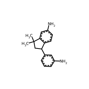 CC1(C)CC(c2cccc(N)c2)c2ccc(N)cc21